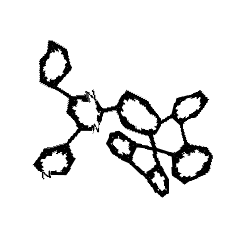 c1ccc(-c2cc(-c3ccncc3)nc(-c3ccc4c(c3)C3(c5ccccc5-c5ccccc5-4)c4ccccc4-c4ccccc43)n2)cc1